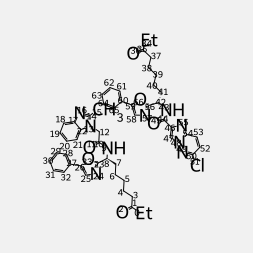 CCC(=O)CCCCC[C@H](NC(=O)Cn1c(C)nc2ccccc21)c1ncc(-c2ccccc2)o1.CCC(=O)CCCCC[C@H](NC(=O)c1cn2nc(Cl)ccc2n1)c1ncc(-c2ccccc2)o1